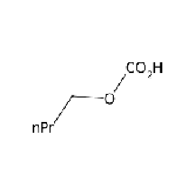 CCCCOC(=O)O